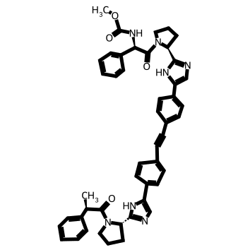 COC(=O)N[C@@H](C(=O)N1CCC[C@H]1c1ncc(-c2ccc(C#Cc3ccc(-c4cnc([C@@H]5CCCN5C(=O)[C@H](C)c5ccccc5)[nH]4)cc3)cc2)[nH]1)c1ccccc1